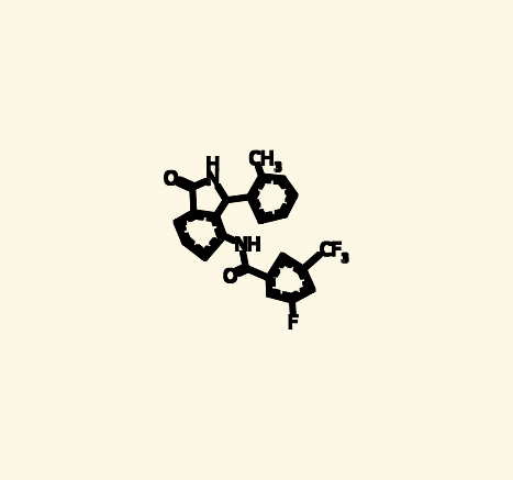 Cc1ccccc1C1NC(=O)c2cccc(NC(=O)c3cc(F)cc(C(F)(F)F)c3)c21